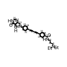 CCN(CC)CCCNC(=O)c1ccc(C#CC#Cc2ccc(NCc3nc[nH]c(=O)c3O)cc2)cc1